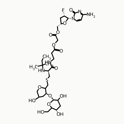 CCC(C)(C)N[C@H](CSCC1OCC(O)C[C@@H]1O[C@@H]1OC(CO)[C@@H](O)CC1O)C(=O)NCCC(=O)OCC(=O)OC[C@@H]1C[C@H](F)[C@H](n2ccc(N)nc2=O)O1